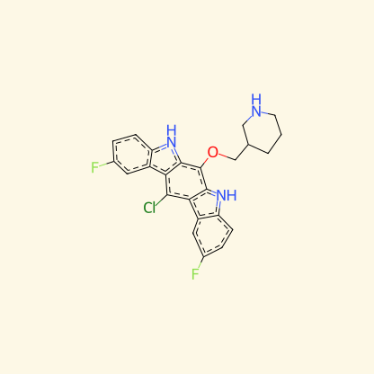 Fc1ccc2[nH]c3c(OCC4CCCNC4)c4[nH]c5ccc(F)cc5c4c(Cl)c3c2c1